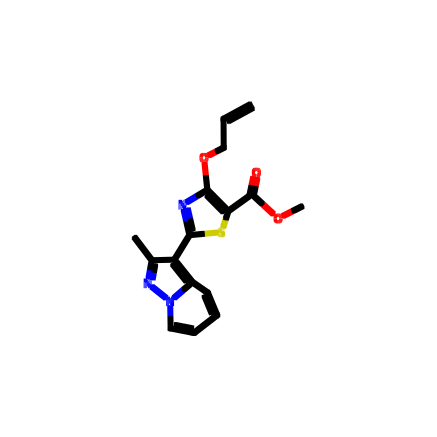 C=CCOc1nc(-c2c(C)nn3ccccc23)sc1C(=O)OC